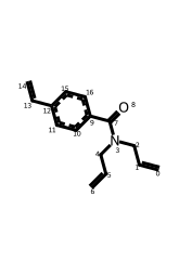 C=CCN(CC=C)C(=O)c1ccc(C=C)cc1